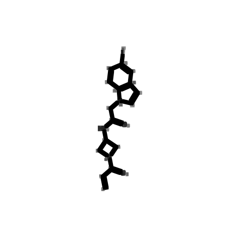 C=CC(=O)N1CC(NC(=O)Cn2ccc3cc(F)ccc32)C1